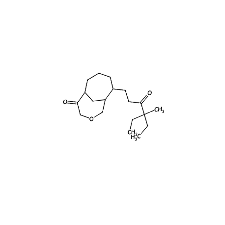 CCC(C)(CC)C(=O)CCC1CCCC2CC1COCC2=O